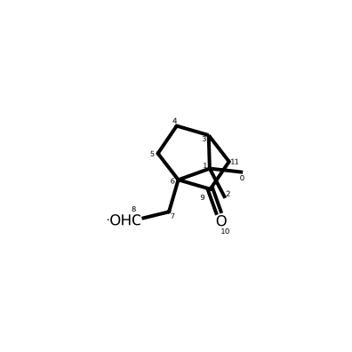 CC1(C)C2CCC1(C[C]=O)C(=O)C2